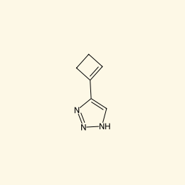 C1=C(c2c[nH]nn2)CC1